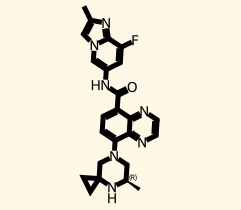 Cc1cn2cc(NC(=O)c3ccc(N4C[C@@H](C)NC5(CC5)C4)c4nccnc34)cc(F)c2n1